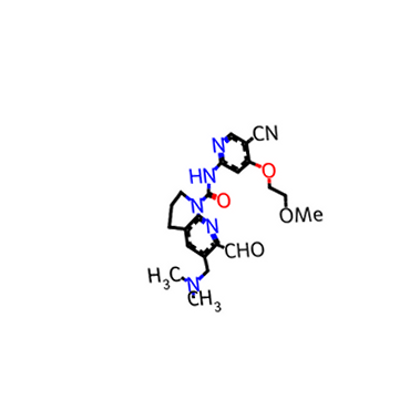 COCCOc1cc(NC(=O)N2CCCc3cc(CN(C)C)c(C=O)nc32)ncc1C#N